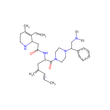 C=CC1=C(C)CCNC1CC(=O)NC(CC(=C)/C=C/C)C(=O)N1CCN(C(CN(CC)CC)c2ccccc2)CC1